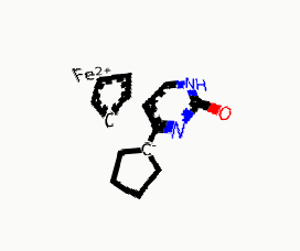 O=c1nc([C-]2CCCC2)cc[nH]1.[Fe+2].c1cc[cH-]c1